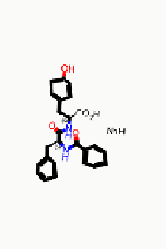 O=C(N[C@@H](Cc1ccccc1)C(=O)N[C@@H](Cc1ccc(O)cc1)C(=O)O)c1ccccc1.[NaH]